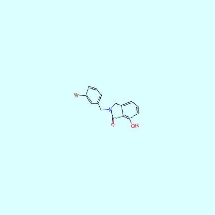 O=C1c2c(O)cccc2CN1Cc1cccc(Br)c1